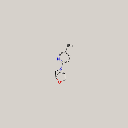 CC(C)(C)c1ccc(N2CC3CC2CO3)nc1